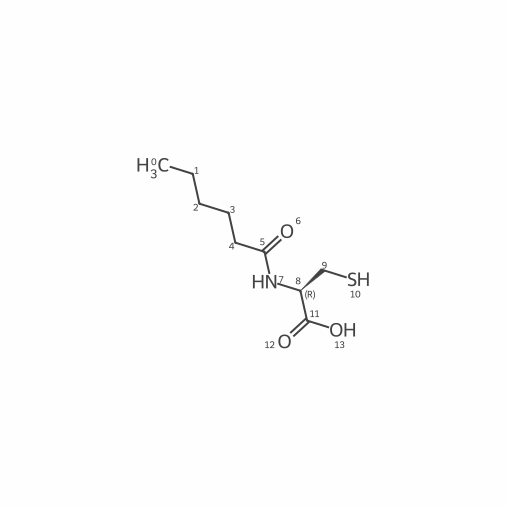 CCCCCC(=O)N[C@@H](CS)C(=O)O